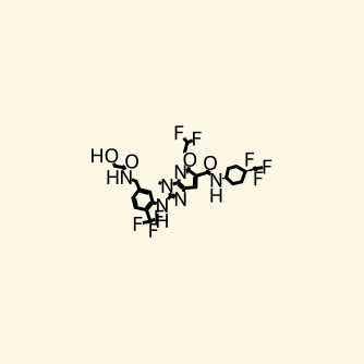 Cn1c(Nc2cc(CNC(=O)CO)ccc2C(F)(F)F)nc2cc(C(=O)N[C@H]3CC[C@H](C(F)(F)F)CC3)c(OCC(F)F)nc21